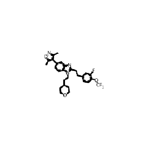 Cc1noc(C)c1-c1ccc2c(c1)nc(CCc1ccc(OC(F)(F)F)c(F)c1)n2CCC1CCOCC1